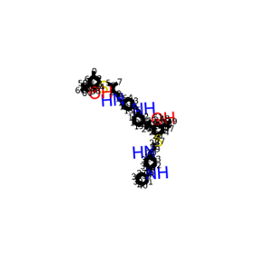 Cc1cc(SCC(C)CCNc2ccc(Nc3cccc(C(C)(C)c4cc(SCCNc5ccc(NC6C=CC=CC6)cc5)cc(C(C)(C)C)c4O)c3)cc2)c(O)c(C(C)(C)C)c1